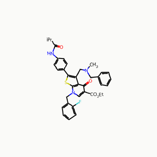 CCOC(=O)c1cn(Cc2ccccc2F)c2sc(-c3ccc(NC(=O)C(C)C)cc3)c(CN(C)Cc3ccccc3)c2c1=O